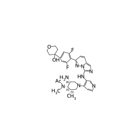 CC(=O)N(C)[C@@H]1[C@H](N)CN(c2ccncc2Nc2ncc3ccc(-c4c(F)cc(C5(O)CCOCC5)cc4F)nn23)C[C@@H]1C